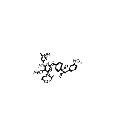 COc1c(Nc2cc(C)[nH]n2)nc(Sc2ccc(S(=O)(=O)Cc3cccc([N+](=O)[O-])c3)cc2)nc1N1CCOCC1C